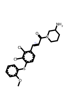 COc1ccccc1Sc1ccc(/C=C/C(=O)N2CCCC(N)C2)c(Cl)c1Cl